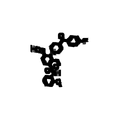 CCC1=C(S(=O)(=O)Nc2ccccc2OC)C=CC(=NO)C1N1CCC(C(=O)c2ccc(F)cc2)CC1